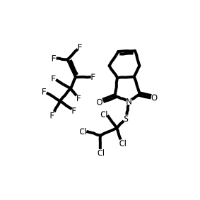 FC(F)=C(F)C(F)(F)C(F)(F)F.O=C1C2CC=CCC2C(=O)N1SC(Cl)(Cl)C(Cl)Cl